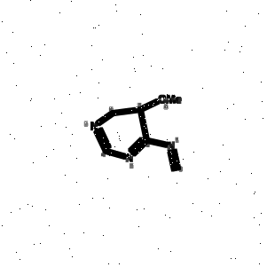 C=NC1=NC=NCC1OC